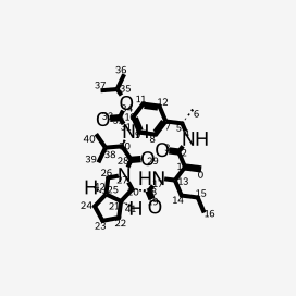 C=C(C(=O)N[C@@H](C)c1ccccc1)C(CCC)NC(=O)[C@@H]1[C@H]2CCC[C@H]2CN1C(=O)[C@@H](NC(=O)OC(C)C)C(C)C